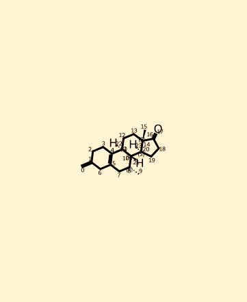 C=C1CCC2=C(C1)C[C@@H](C)[C@@H]1[C@@H]2CC[C@]2(C)C(=O)CC[C@@H]12